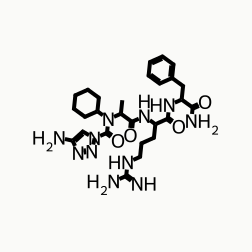 CC(C(=O)NC(CCCNC(=N)N)C(=O)NC(Cc1ccccc1)C(N)=O)N(C(=O)n1cc(N)nn1)C1CCCCC1